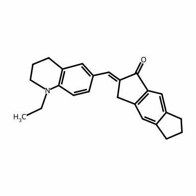 CCN1CCCc2cc(/C=C3\Cc4cc5c(cc4C3=O)CCC5)ccc21